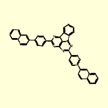 c1ccc2c(c1)-c1nc(-c3ccc(-c4ccc5ccccc5c4)cc3)nc3nc(-c4ccc(-c5ccc6ccccc6c5)cc4)nc-2c13